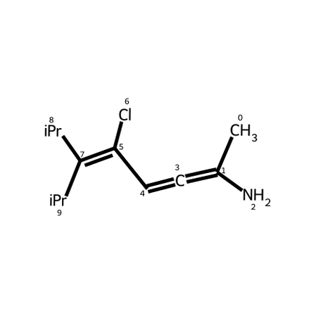 CC(N)=C=CC(Cl)=C(C(C)C)C(C)C